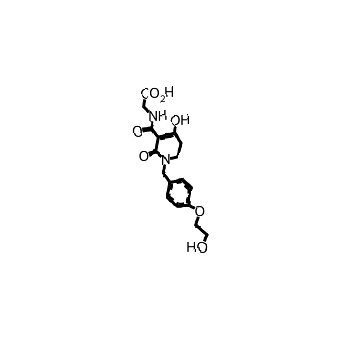 O=C(O)CNC(=O)C1=C(O)CCN(Cc2ccc(OCCO)cc2)C1=O